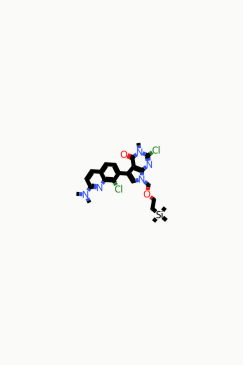 CN(C)c1ccc2ccc(-c3cn(COCC[Si](C)(C)C)c4nc(Cl)n(C)c(=O)c34)c(Cl)c2n1